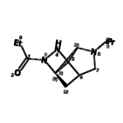 CCC(=O)N1NC23C4CN(C(C)C)C2[C@@]13C4